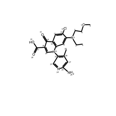 CCN(CCOC)c1cc2c(cc1Cl)c(=O)c(C(=O)O)cn2-c1cnc(N)cc1C